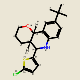 CC(C)(C)c1ccc2c(c1)[C@H]1OCCC[C@H]1C(c1ccc(Cl)s1)N2